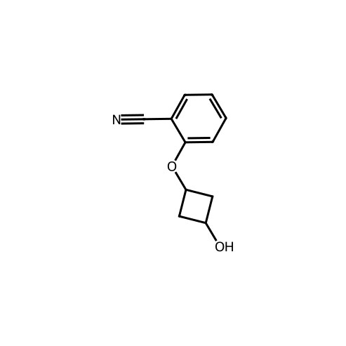 N#Cc1ccccc1OC1CC(O)C1